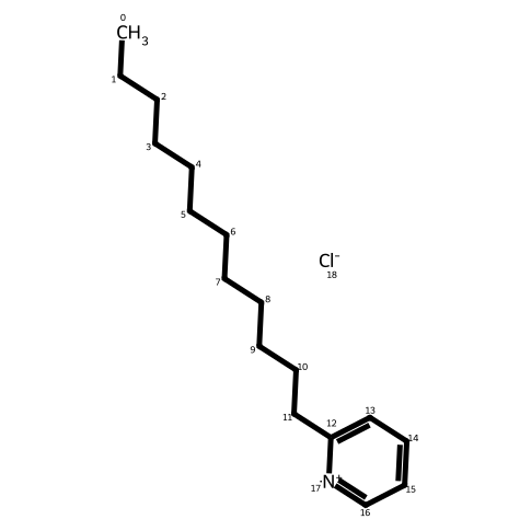 CCCCCCCCCCCCC1=CC=CC=[N+]1.[Cl-]